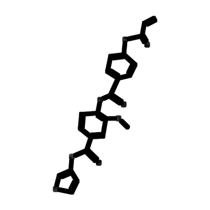 C=CC(=O)Oc1ccc(C(=O)Oc2ccc(C(=O)Oc3ccoc3)cc2OC)cc1